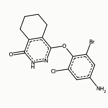 Nc1cc(Cl)c(Oc2n[nH]c(=O)c3c2CCCC3)c(Br)c1